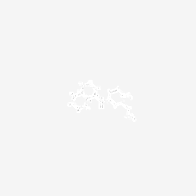 C\C=C/C=C(\C=C/C)Nc1cccc2ccccc12